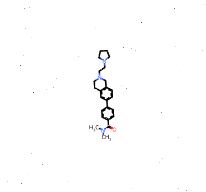 CN(C)C(=O)c1ccc(-c2ccc3c(c2)CCN(CCN2CCCC2)C3)cc1